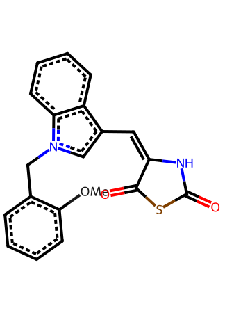 COc1ccccc1Cn1cc(C=C2NC(=O)SC2=O)c2ccccc21